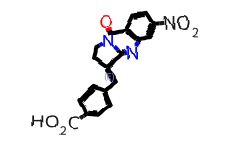 O=C(O)c1ccc(/C=C2\CCn3c2nc2cc([N+](=O)[O-])ccc2c3=O)cc1